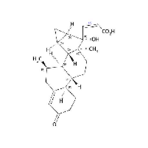 C[C@@H]1CC2=CC(=O)CC[C@@H]2[C@H]2CC[C@@]3(C)[C@@H]([C@H]4C[C@H]4[C@@]3(O)/C=C\C(=O)O)[C@@H]21